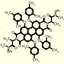 CCCN(C)C(=O)C(C)N1C(=O)c2cc(Oc3ccc(C)cc3C)c3c4c(Oc5ccc(C)cc5C)cc5c6c(cc(Oc7ccc(C)cc7C)c(c7c(Oc8ccc(C)cc8C)cc(c2c37)C1=O)c64)C(=O)N(C(C)C(=O)N(C)CCC)C5=O